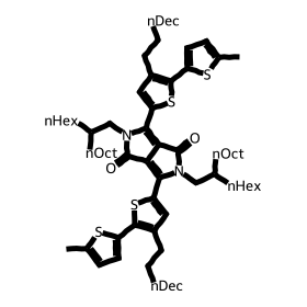 CCCCCCCCCCCCc1cc(C2=C3C(=O)N(CC(CCCCCC)CCCCCCCC)C(c4cc(CCCCCCCCCCCC)c(-c5ccc(C)s5)s4)=C3C(=O)N2CC(CCCCCC)CCCCCCCC)sc1-c1ccc(C)s1